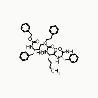 CCCC[C@H](NC(=O)N(CCc1ccccc1)C[C@@H](O)[C@H](Cc1ccccc1)NC(=O)OCc1ccccc1)C(=O)N[C@@H](Cc1ccccc1)C(N)=O